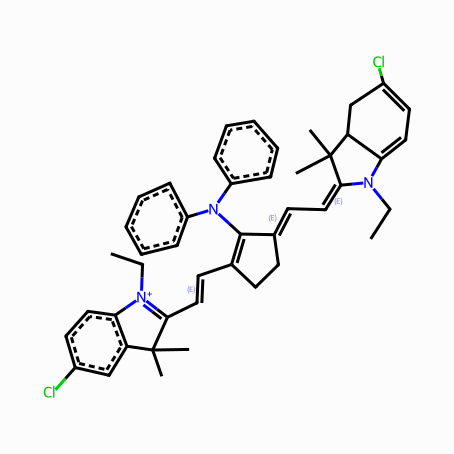 CCN1C2=CC=C(Cl)CC2C(C)(C)/C1=C\C=C1/CCC(/C=C/C2=[N+](CC)c3ccc(Cl)cc3C2(C)C)=C1N(c1ccccc1)c1ccccc1